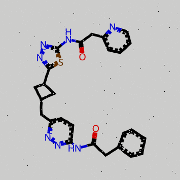 O=C(Cc1ccccc1)Nc1ccc(CC2CC(c3nnc(NC(=O)Cc4ccccn4)s3)C2)nn1